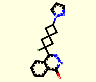 O=c1[nH]nc(C2(F)CC3(CC(n4cccn4)C3)C2)c2ccccc12